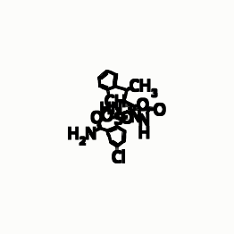 Cc1ccccc1[C@@H](C)C(NS(=O)(=O)c1ccc(Cl)cc1C(N)=O)c1n[nH]c(=O)o1